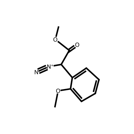 COC(=O)C([N+]#N)c1ccccc1OC